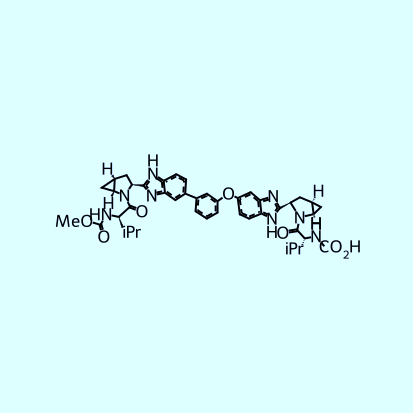 COC(=O)N[C@@H](C(=O)N1[C@@H]2C[C@@H]2C[C@H]1c1nc2cc(-c3cccc(Oc4ccc5[nH]c([C@H]6C[C@H]7C[C@H]7N6C(=O)[C@H](NC(=O)O)C(C)C)nc5c4)c3)ccc2[nH]1)C(C)C